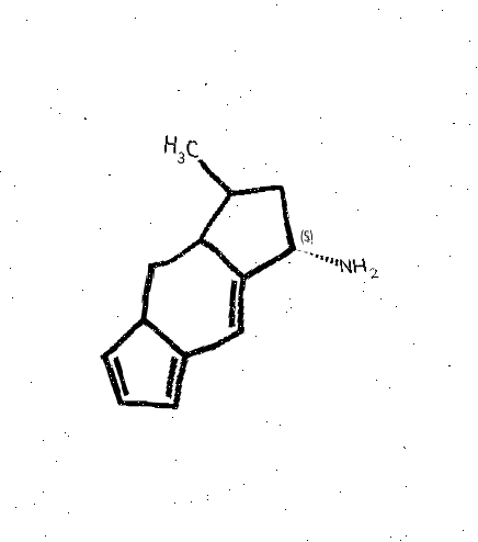 CC1C[C@H](N)C2=CC3=CC=CC3CC21